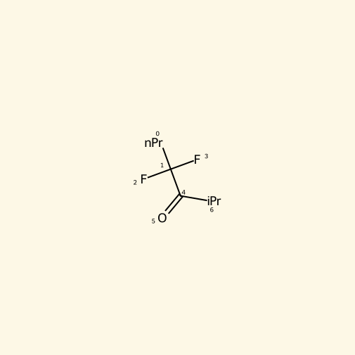 CCCC(F)(F)C(=O)C(C)C